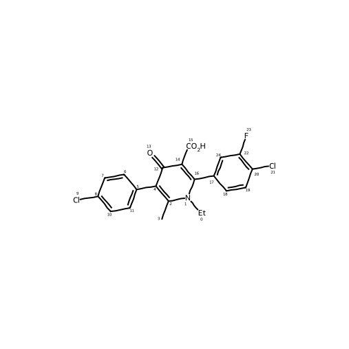 CCn1c(C)c(-c2ccc(Cl)cc2)c(=O)c(C(=O)O)c1-c1ccc(Cl)c(F)c1